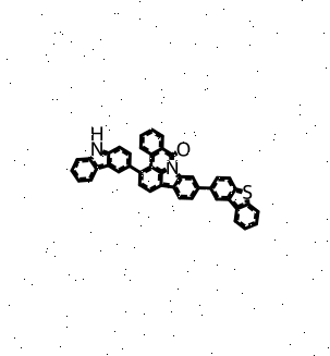 O=c1c2ccccc2c2c(-c3ccc4[nH]c5ccccc5c4c3)ccc3c4ccc(-c5ccc6sc7ccccc7c6c5)cc4n1c32